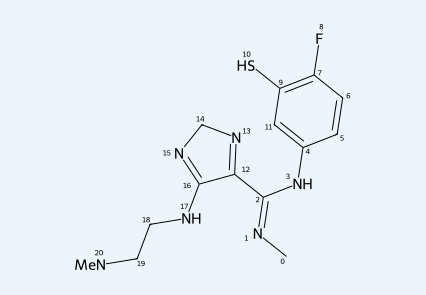 C/N=C(\Nc1ccc(F)c(S)c1)C1=NCN=C1NCCNC